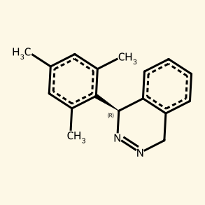 Cc1cc(C)c([C@@H]2N=NCc3ccccc32)c(C)c1